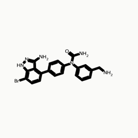 NCc1cccc(N(C(N)=O)c2ccc(-c3ccc(Br)c4[nH]nc(N)c34)cc2)c1